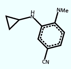 CNc1ccc(C#N)cc1NC1CC1